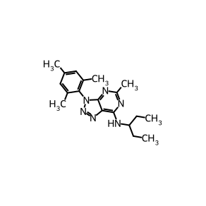 CCC(CC)Nc1nc(C)nc2c1nnn2-c1c(C)cc(C)cc1C